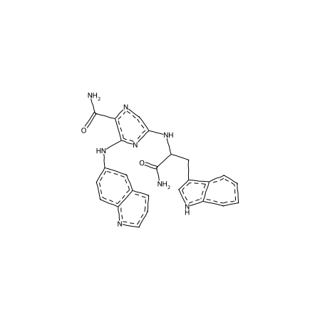 NC(=O)c1ncc(NC(Cc2c[nH]c3ccccc23)C(N)=O)nc1Nc1ccc2ncccc2c1